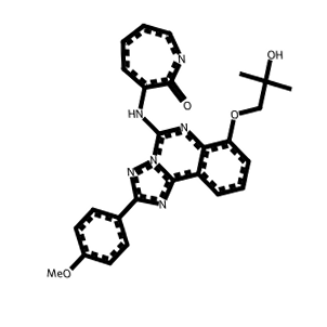 COc1ccc(-c2nc3c4cccc(OCC(C)(C)O)c4nc(Nc4ccccnc4=O)n3n2)cc1